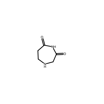 O=C1CCNCC(=O)N1